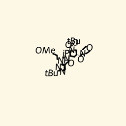 COCCCNc1nc(C(C)(C)C)ncc1C(=O)N(CC(C)C)[C@H]1C[C@@H](C(=O)N2CCOCC2)CN(C(=O)OC(C)(C)C)C1